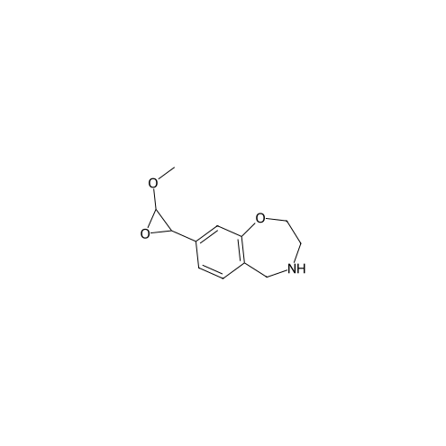 COC1OC1c1ccc2c(c1)OCCNC2